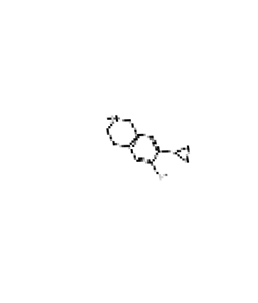 CC(C)c1cc2c(cc1C1CC1)CNCC2